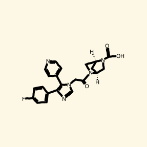 O=C(O)N1C[C@@H]2C[C@H]1CN2C(=O)Cn1cnc(-c2ccc(F)cc2)c1-c1ccncc1